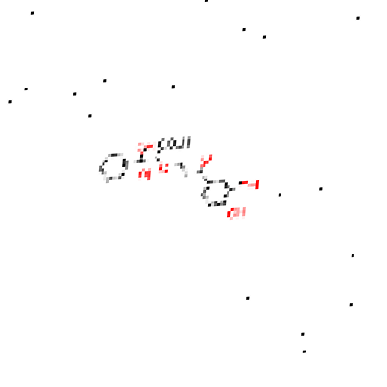 O=C(C=COC(C(=O)O)C(O)(O)c1ccccc1)c1ccc(O)c(O)c1